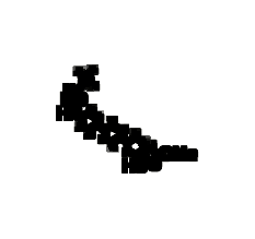 COC(=O)CC1(CO)CCC(c2ccc(-c3ccc(Nc4nnc(C5CCC5)o4)cc3)cc2)CC1